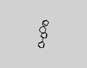 C1=C2CC(C1)C1(CCc3cc(-c4ccccc4)ccc3C1)C2